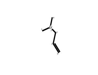 C=C[CH2][Er]([CH3])[CH3]